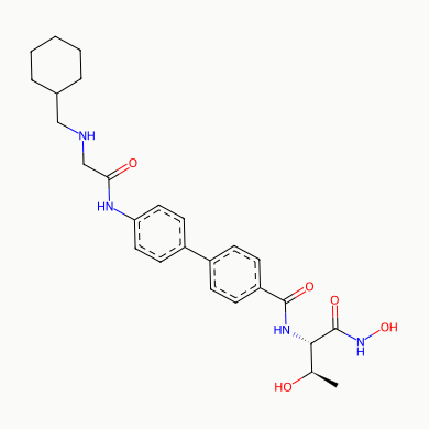 C[C@@H](O)[C@H](NC(=O)c1ccc(-c2ccc(NC(=O)CNCC3CCCCC3)cc2)cc1)C(=O)NO